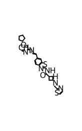 C\C=N/C(COC1CCCC1)=N\C=C\c1ccc2nc(NC(=O)C3CC(NCc4nccs4)C3)sc2c1